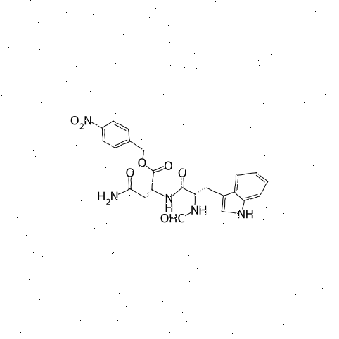 NC(=O)C[C@@H](NC(=O)[C@H](Cc1c[nH]c2ccccc12)NC=O)C(=O)OCc1ccc([N+](=O)[O-])cc1